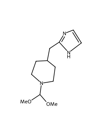 COC(OC)N1CCC(Cc2ncc[nH]2)CC1